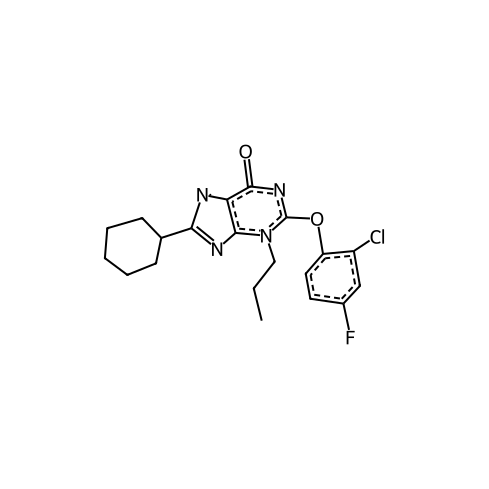 CCCn1c(Oc2ccc(F)cc2Cl)nc(=O)c2c1N=C(C1CCCCC1)[N]2